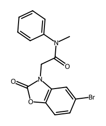 CN(C(=O)Cn1c(=O)oc2ccc(Br)cc21)c1ccccc1